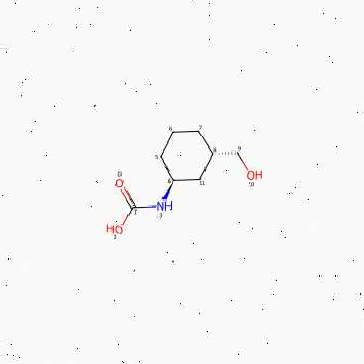 O=C(O)N[C@H]1CCC[C@H](CO)C1